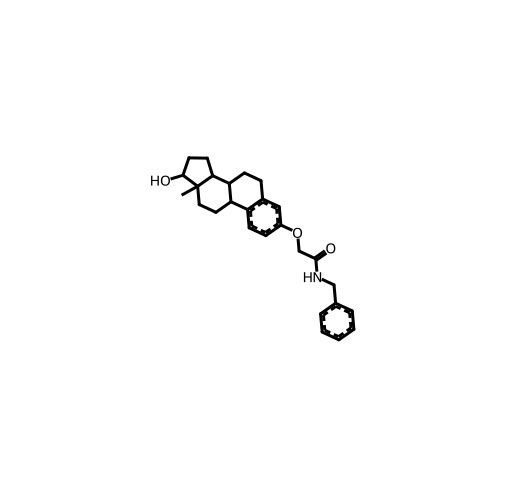 CC12CCC3c4ccc(OCC(=O)NCc5ccccc5)cc4CCC3C1CCC2O